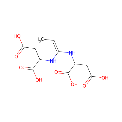 CC=C(NC(CC(=O)O)C(=O)O)NC(CC(=O)O)C(=O)O